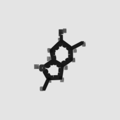 Cc1cc2cc(C)c(F)cc2o1